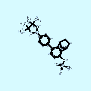 CC1(C)OB(c2ccc(-c3ccc(OS(=O)(=O)C(F)(F)F)c4c3C3CCC4C3)cc2)OC1(C)C